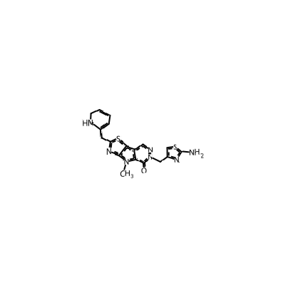 Cn1c2nc(CC3=CC=CCN3)sc2c2cnn(Cc3csc(N)n3)c(=O)c21